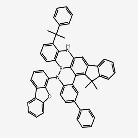 CC(C)(c1ccccc1)c1cccc2c1Nc1cc3c(c4c1B2N(c1cccc2c1oc1ccccc12)c1ccc(-c2ccccc2)cc1-4)C(C)(C)c1ccccc1-3